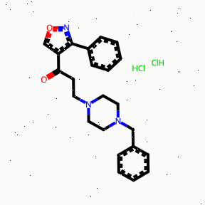 Cl.Cl.O=C(CCN1CCN(Cc2ccccc2)CC1)c1conc1-c1ccccc1